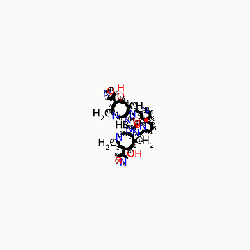 C=c1cc(-c2cnoc2)c(O)cc(=C)c2c(cn1)n(Bn1c(=O)n(Cc3ccccn3)c3c(=C)cc(O)c(-c4cnoc4)cc(=C)ncc31)c(=O)n2Cc1ccccn1